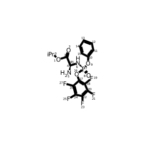 CC(C)OC(=O)[C@H](N)N[P@](=O)(Oc1ccccc1)Oc1c(F)c(F)c(F)c(F)c1F